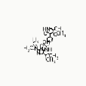 CCC(CC)c1cnc(N(CC)CC)nc1N[C@@H](Cc1ccc(-c2c(OC)c(C)c[nH]c2=O)cc1)C(=O)O